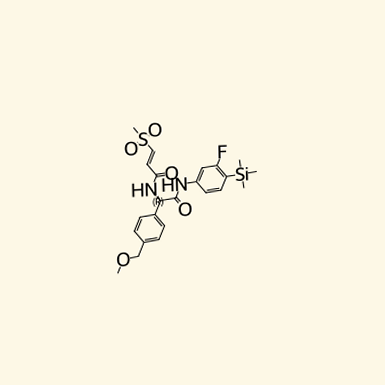 COCc1ccc([C@@H](NC(=O)C=CS(C)(=O)=O)C(=O)Nc2ccc([Si](C)(C)C)c(F)c2)cc1